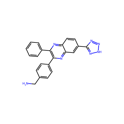 NCc1ccc(-c2nc3cc(-c4nn[nH]n4)ccc3nc2-c2ccccc2)cc1